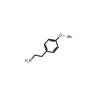 CC[C@@H](C)Oc1ccc(CCN)cc1